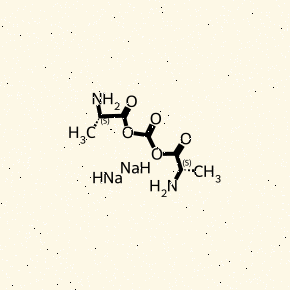 C[C@H](N)C(=O)OC(=O)OC(=O)[C@H](C)N.[NaH].[NaH]